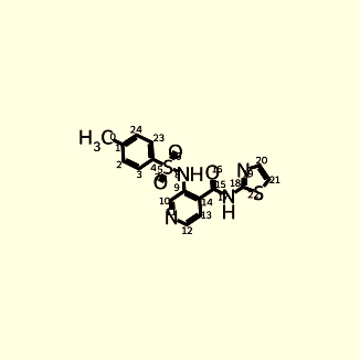 Cc1ccc(S(=O)(=O)Nc2cnccc2C(=O)Nc2nccs2)cc1